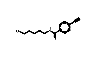 C#Cc1ccc(C(=O)NCCCCCN)cc1